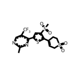 Cc1ncc(C(F)(F)F)c(-c2cc(S(C)(=O)=O)c(C3=CCS(=O)(=O)CC3)s2)n1